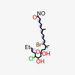 CC/C=C/C1OC(O)(CC[C@H](C)/C(Br)=C/C=C/C=C(C)/C=C/C=C/C(=O)N=O)CC(O)C1Cl